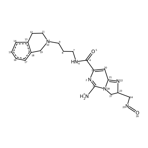 NC1=NC(C(=O)NCCCN2CCc3ccccc3C2)=CC2=NC(CN=O)CN12